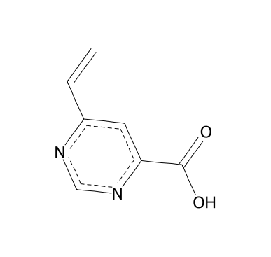 C=Cc1cc(C(=O)O)ncn1